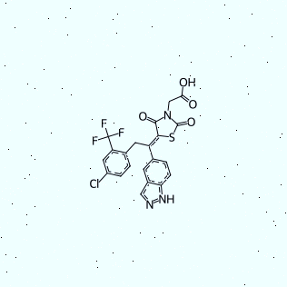 O=C(O)CN1C(=O)S/C(=C(/Cc2ccc(Cl)cc2C(F)(F)F)c2ccc3[nH]ncc3c2)C1=O